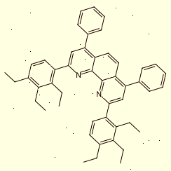 CCc1ccc(-c2cc(-c3ccccc3)c3ccc4c(-c5ccccc5)cc(-c5ccc(CC)c(CC)c5CC)nc4c3n2)c(CC)c1CC